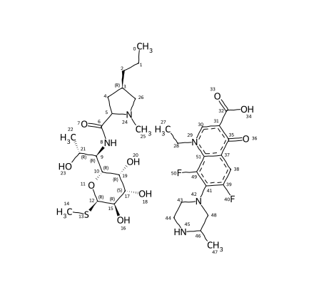 CCC[C@@H]1CC(C(=O)N[C@@H]([C@H]2O[C@H](SC)[C@H](O)[C@@H](O)[C@H]2O)[C@@H](C)O)N(C)C1.CCn1cc(C(=O)O)c(=O)c2cc(F)c(N3CCNC(C)C3)c(F)c21